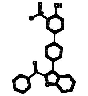 O=C(c1ccccc1)c1oc2ccccc2c1-c1ccc(-c2ccc(O)c([N+](=O)[O-])c2)cc1